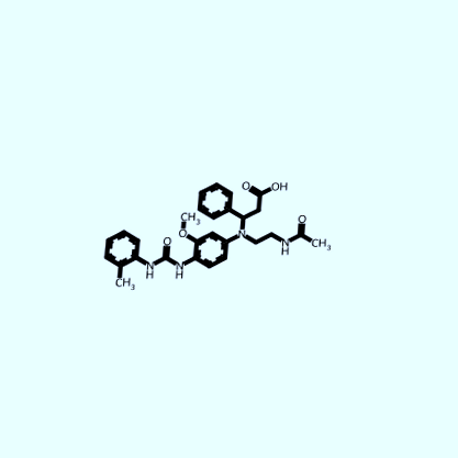 COc1cc(N(CCNC(C)=O)C(CC(=O)O)c2ccccc2)ccc1NC(=O)Nc1ccccc1C